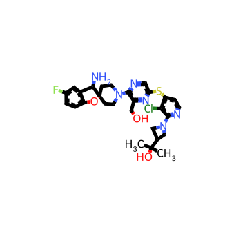 CC(C)(O)C1CN(c2nccc(Sc3cnc(N4CCC5(CC4)Oc4ccc(F)cc4C5N)c(CO)n3)c2Cl)C1